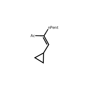 CCCCC/C(=C/C1CC1)C(C)=O